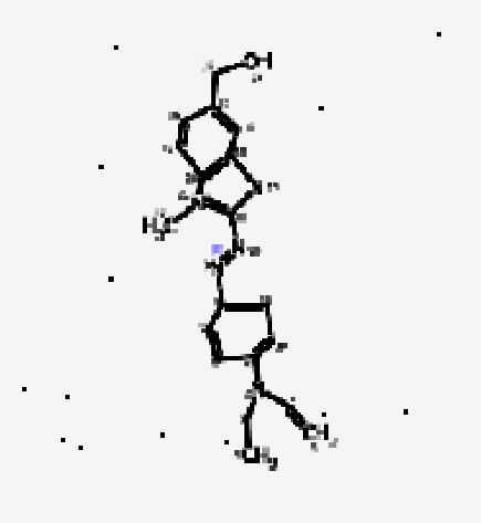 C=CN(CC)c1ccc(/N=N/c2sc3cc(CO)ccc3[n+]2C)cc1